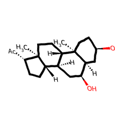 CC(=O)[C@H]1CC[C@H]2[C@@H]3C[C@H](O)[C@@H]4C[C@H](O)CC[C@]4(C)[C@H]3CC[C@]12C